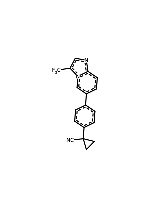 N#CC1(c2ccc(-c3ccc4ncc(C(F)(F)F)n4c3)cc2)CC1